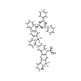 CC1(C)c2cc3c(cc2-c2cccnc21)-c1cc(-c2cccc4c2C(C)(C)c2cc5c(cc2-4)c2ccccc2n5-c2nc(-c4ccccc4)nc(-c4ccccc4)n2)ccc1C3C(=O)O